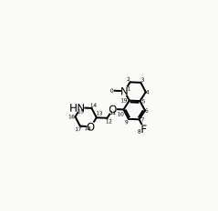 CN1CCCc2cc(F)cc(OCC3CNCCO3)c21